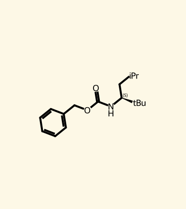 CC(C)C[C@H](NC(=O)OCc1ccccc1)C(C)(C)C